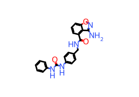 Nc1noc2cccc(C(=O)NCc3ccc(NC(=O)Nc4ccccc4)cc3)c12